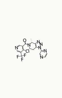 C[C@@H]1c2nnn(-c3cnccn3)c2CCN1C(=O)c1cncc(C(F)(F)F)c1Cl